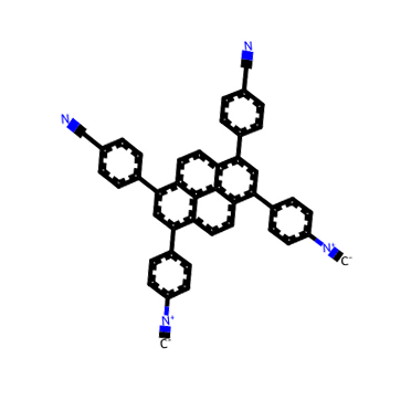 [C-]#[N+]c1ccc(-c2cc(-c3ccc(C#N)cc3)c3ccc4c(-c5ccc(C#N)cc5)cc(-c5ccc([N+]#[C-])cc5)c5ccc2c3c45)cc1